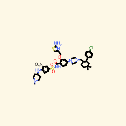 CN1CCC(Nc2ccc(S(=O)(=O)NC(=O)c3ccc(N4CCN(CC5=C(c6ccc(Cl)cc6)CC(C)(C)CC5)CC4)cc3OCc3csc(N)n3)cc2[N+](=O)[O-])CC1